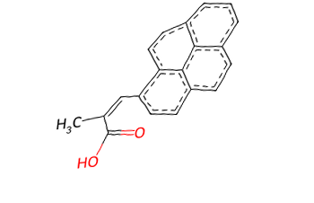 CC(=Cc1ccc2ccc3cccc4ccc1c2c34)C(=O)O